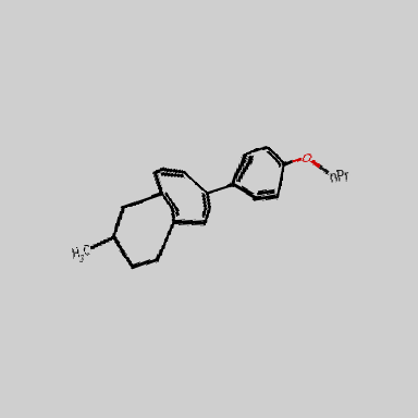 CCCOc1ccc(-c2ccc3c(c2)CCC(C)C3)cc1